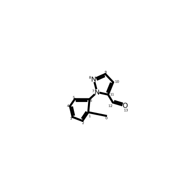 Cc1ccccc1-n1nccc1C=O